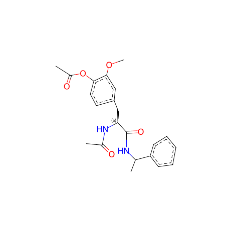 COc1cc(C[C@H](NC(C)=O)C(=O)NC(C)c2ccccc2)ccc1OC(C)=O